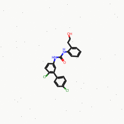 O=C(Nc1ccc(Cl)c(-c2ccc(Cl)cc2)c1)Nc1ccccc1CCO